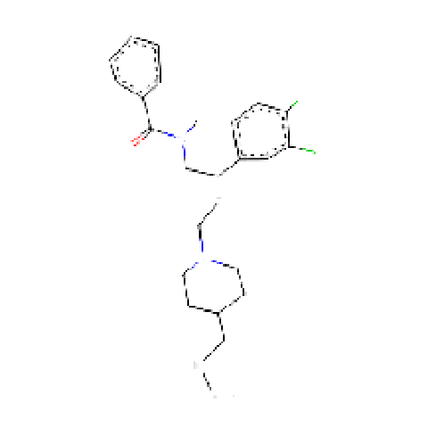 CCCCC[CH2][InH][CH2]C1CCN(CC[C@H](CN(C)C(=O)c2ccccc2)c2ccc(Cl)c(Cl)c2)CC1